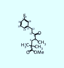 COC(=O)C(C)(C)CC(C)C(=O)CCc1cccc(F)c1